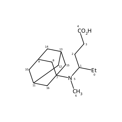 CCC(CCC(=O)O)N(C)C12CC3CC(CC(C3)C1)C2